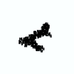 Cc1cc(-n2ncc(C(=O)c3cc4cc(OC5CCC(N(C)C)CC5)c(N5C(=O)NC(C)(C)C5=O)cc4[nH]3)c2N)ccc1Oc1ccccc1F